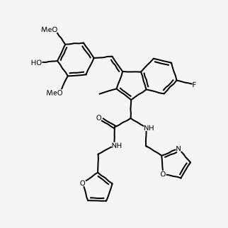 COc1cc(C=C2C(C)=C(C(NCc3ncco3)C(=O)NCc3ccco3)c3cc(F)ccc32)cc(OC)c1O